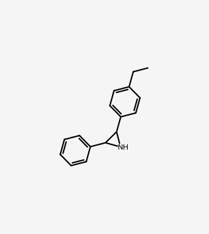 CCc1ccc(C2NC2c2ccccc2)cc1